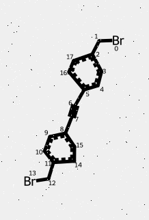 BrCc1ccc(C#Cc2ccc(CBr)cc2)cc1